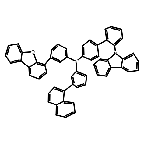 c1cc(-c2cccc3ccccc23)cc(N(c2ccc(-c3ccccc3-n3c4ccccc4c4ccccc43)cc2)c2cccc(-c3cccc4c3oc3ccccc34)c2)c1